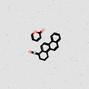 O=C=C1CCCc2c1ccc1c2ccc2ccccc21.O=c1cccco1